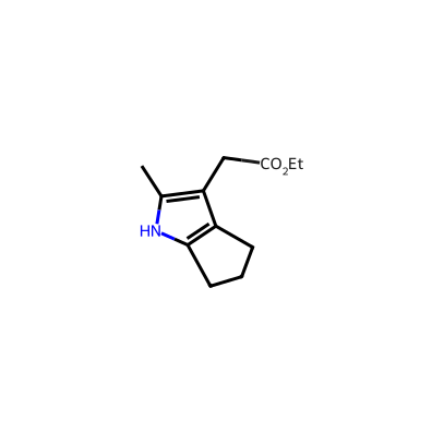 CCOC(=O)Cc1c(C)[nH]c2c1CCC2